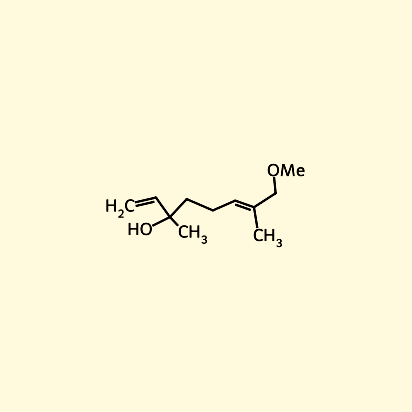 C=CC(C)(O)CCC=C(C)COC